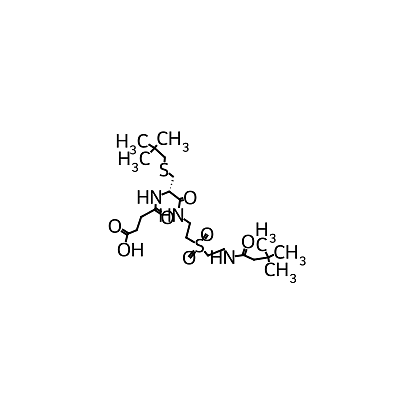 CC(C)(C)CSC[C@@H](NC(=O)CCC(=O)O)C(=O)NCCS(=O)(=O)CCNC(=O)CC(C)(C)C